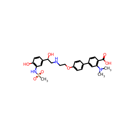 CN(C)c1cc(-c2ccc(OCCNC[C@H](O)c3ccc(O)c(NS(C)(=O)=O)c3)cc2)ccc1C(=O)O